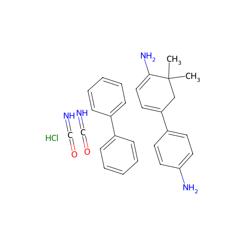 CC1(C)CC(c2ccc(N)cc2)=CC=C1N.Cl.N=C=O.N=C=O.c1ccc(-c2ccccc2)cc1